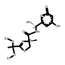 CCC[C@@H](NC(=O)[C@]1(C)CSC(C(C)(OCC)OCC)=N1)c1cc(O)cc(=O)o1